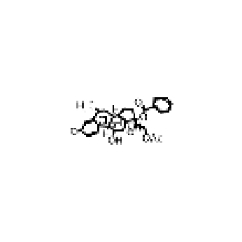 CC(=O)OCC(=O)[C@@]1(OC(=O)c2ccccc2)CC[C@H]2[C@@H]3CC(C)C4=CC(=O)C=C[C@]4(C)[C@H]3C(O)C[C@@]21C